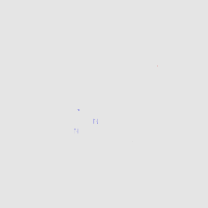 c1ccc(-c2nc(N(c3ccc(-c4ccc5c(c4)oc4ccccc45)cc3)c3cccc4c3-c3ccccc3C43c4ccccc4-c4ccccc43)nc3ccccc23)cc1